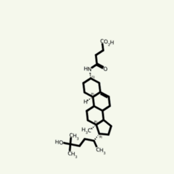 CC(CCC(C)(C)O)[C@H]1CCC2C3CC=C4C[C@@H](NC(=O)CCC(=O)O)CC[C@@H]4C3CC[C@@]21C